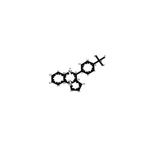 CC(C)(C)c1ccc(-c2nc3ccccc3n3cccc23)cc1